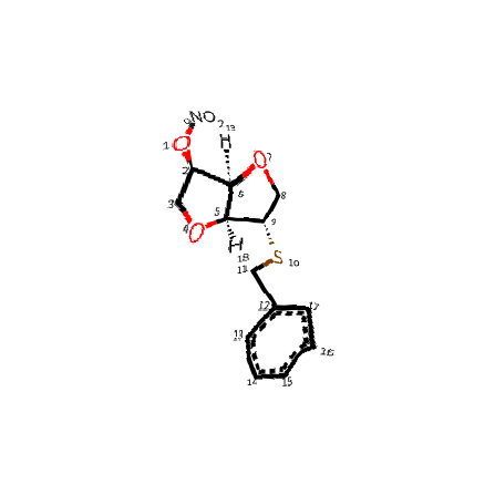 O=[N+]([O-])O[C@@H]1CO[C@H]2[C@@H]1OC[C@@H]2SCc1ccccc1